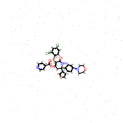 O=C1NC(c2ccc(N3CCOCC3)cc2)(c2ccsc2)CC(OC(=O)c2ccncc2)=C1Sc1ccc(Cl)cc1Cl